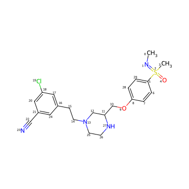 CN=S(C)(=O)c1ccc(OCC2CN(CCc3cc(Cl)cc(C#N)c3)CCN2)cc1